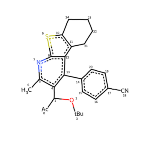 CC(=O)C(OC(C)(C)C)c1c(C)nc2sc3c(c2c1-c1ccc(C#N)cc1)CCCC3